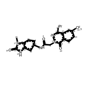 CC(C)c1nn(CC(=O)Nc2ccc3c(c2)[nH]c(=O)n3C)c(=O)c2ccc(C(F)(F)F)cc12